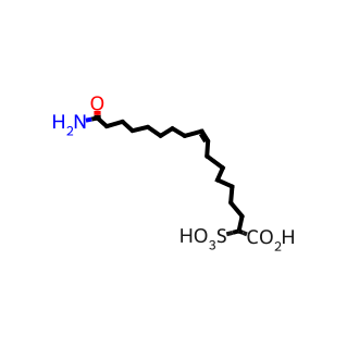 NC(=O)CCCCCCC/C=C\CCCCCCC(C(=O)O)S(=O)(=O)O